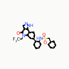 O=c1c2cn[nH]c2c2ccc(-c3ccccc3NS(=O)(=O)Cc3ccccc3)cc2n1CC(F)(F)F